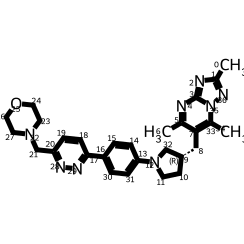 Cc1nc2nc(C)c(C[C@@H]3CCN(c4ccc(-c5ccc(CN6CCOCC6)nn5)cc4)C3)c(C)n2n1